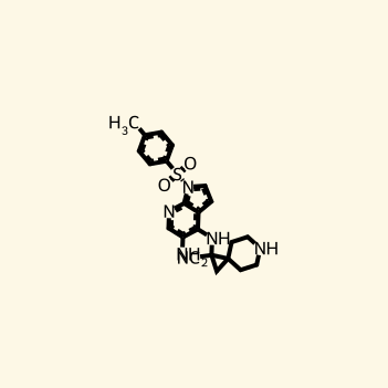 Cc1ccc(S(=O)(=O)n2ccc3c(NC4(C#N)CC45CCNCC5)c(N)cnc32)cc1